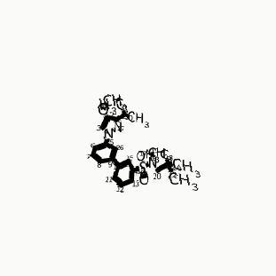 COc1cn(-c2cccc(-c3cccc(S(=O)(=O)N(C)CC(C)(C)C)c3)c2)nc1C(C)C